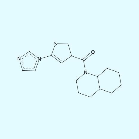 O=C(C1C=C(n2ccnc2)SC1)N1CCCC2CCCCC21